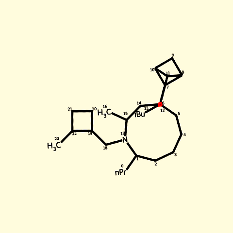 CCCC1CCCCC(C2C3CC2C3CC(C)CC)CC(C)N1CC1CCC1C